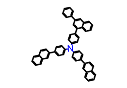 c1ccc(-c2cc(-c3ccc(N(c4ccc(-c5ccc6ccccc6c5)cc4)c4ccc(-c5ccc6ccccc6c5)cc4)cc3)c3ccccc3c2)cc1